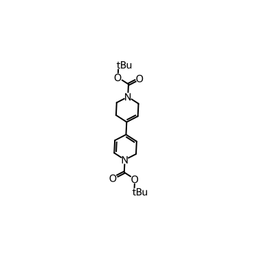 CC(C)(C)OC(=O)N1C=CC(C2=CCN(C(=O)OC(C)(C)C)CC2)=CC1